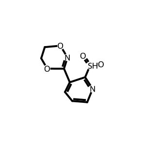 O=[SH](=O)c1ncccc1C1=NOCCO1